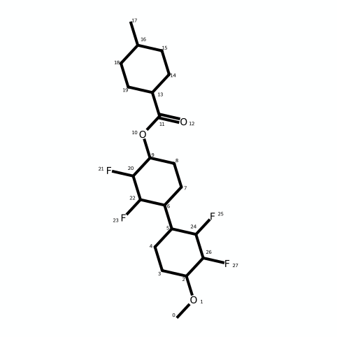 COC1CCC(C2CCC(OC(=O)C3CCC(C)CC3)C(F)C2F)C(F)C1F